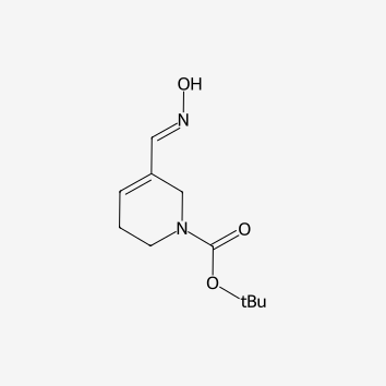 CC(C)(C)OC(=O)N1CCC=C(/C=N/O)C1